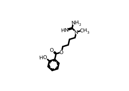 CN(CCCCOC(=O)c1ccccc1O)C(=N)N